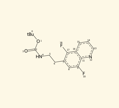 CC(C)(C)OC(=O)NCCc1cc(F)c2ncccc2c1F